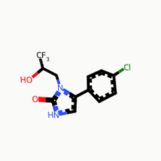 O=c1[nH]cc(-c2ccc(Cl)cc2)n1CC(O)C(F)(F)F